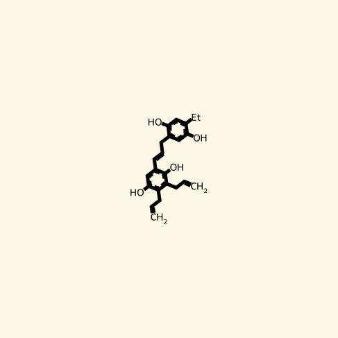 C=CCc1c(O)cc(/C=C/Cc2cc(O)c(CC)cc2O)c(O)c1CC=C